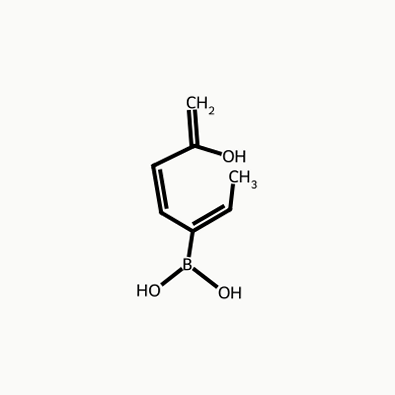 C=C(O)/C=C\C(=C/C)B(O)O